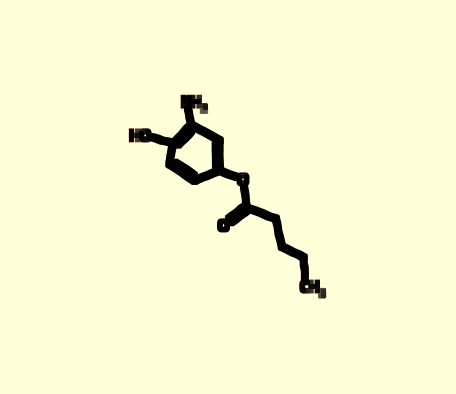 CCCCC(=O)Oc1ccc(O)c(N)c1